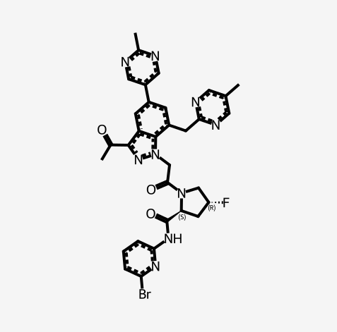 CC(=O)c1nn(CC(=O)N2C[C@H](F)C[C@H]2C(=O)Nc2cccc(Br)n2)c2c(Cc3ncc(C)cn3)cc(-c3cnc(C)nc3)cc12